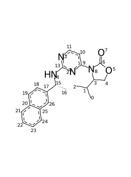 CC(C)C1COC(=O)N1c1ccnc(N[C@H](C)c2ccc3ccccc3c2)n1